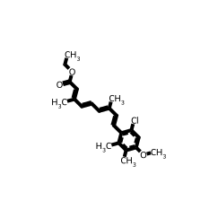 CCOC(=O)C=C(C)C=CC=C(C)C=Cc1c(Cl)cc(OC)c(C)c1C